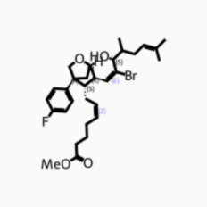 COC(=O)CCC/C=C\C[C@H]1[C@H](/C=C(/Br)[C@@H](O)C(C)CC=C(C)C)[C@@H]2C[C@@]1(c1ccc(F)cc1)CO2